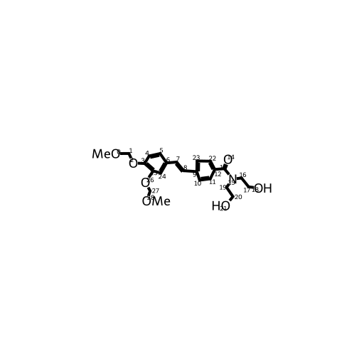 COCOc1ccc(/C=C/c2ccc(C(=O)N(CCO)CCO)cc2)cc1OCOC